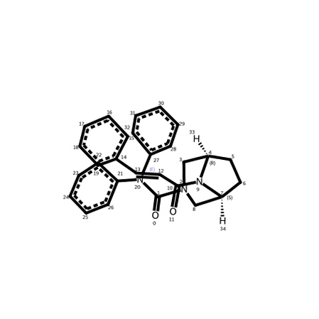 O=C(N1C[C@H]2CC[C@@H](C1)N2C(=O)/C=C/c1ccccc1)N(c1ccccc1)c1ccccc1